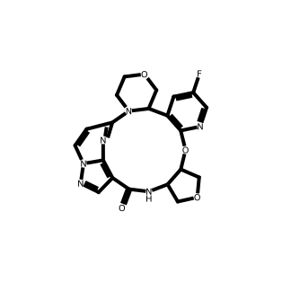 O=C1NC2COCC2Oc2ncc(F)cc2C2COCCN2c2ccn3ncc1c3n2